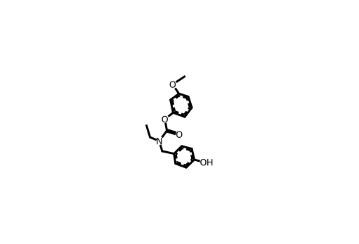 CCN(Cc1ccc(O)cc1)C(=O)Oc1cccc(OC)c1